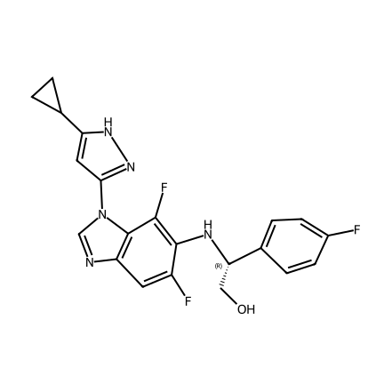 OC[C@H](Nc1c(F)cc2ncn(-c3cc(C4CC4)[nH]n3)c2c1F)c1ccc(F)cc1